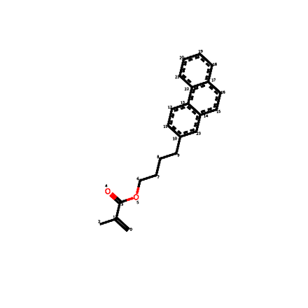 C=C(C)C(=O)OCCCCc1ccc2c(ccc3ccccc32)c1